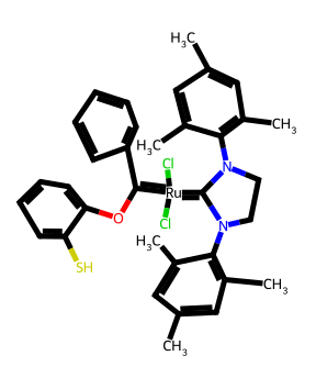 Cc1cc(C)c(N2CCN(c3c(C)cc(C)cc3C)[C]2=[Ru]([Cl])([Cl])=[C](Oc2ccccc2S)c2ccccc2)c(C)c1